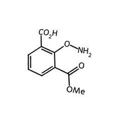 COC(=O)c1cccc(C(=O)O)c1ON